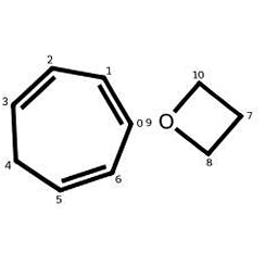 C1=CC=CCC=C1.C1COC1